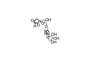 O=c1ccn([C@H]2CC(O)[C@@H](COCc3cn(C4OCC(O)C(O)C4O)nn3)O2)c(=O)[nH]1